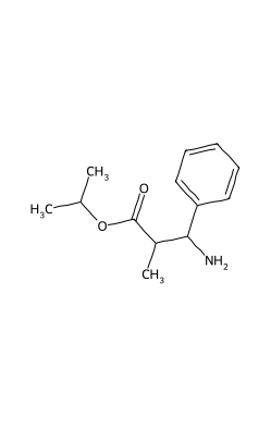 CC(C)OC(=O)C(C)C(N)c1ccccc1